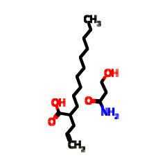 C=CCC(CCCCCCCCCC)C(=O)O.NC(=O)CCO